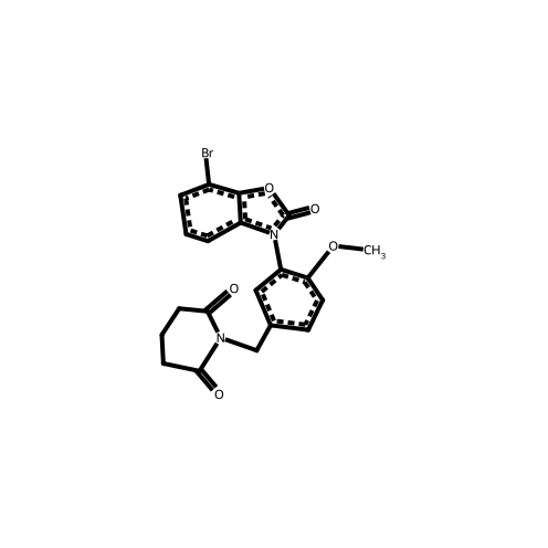 COc1ccc(CN2C(=O)CCCC2=O)cc1-n1c(=O)oc2c(Br)cccc21